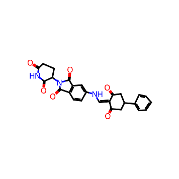 O=C1CCC(N2C(=O)c3ccc(NC=C4C(=O)CC(c5ccccc5)CC4=O)cc3C2=O)C(=O)N1